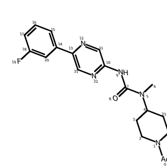 CC(=O)N1CCC(N(C)C(=O)Nc2cnc(-c3cccc(F)c3)cn2)CC1